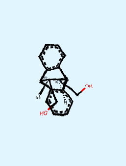 OC[C@@H]1C2c3ccccc3C(c3ccccc32)[C@H]1CO